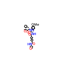 COc1ccc(C[C@H](NC(=O)C2CC3(CC(C(=O)NC4CCOC4)C3)C2)C(=O)N[C@@H](CC2=CCCC2)C(=O)[C@@]2(C)CO2)cc1